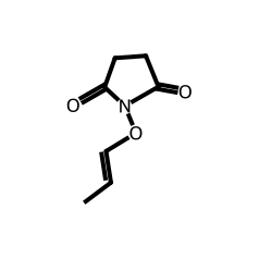 CC=CON1C(=O)CCC1=O